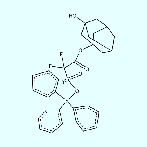 O=C(OC12CC3CC(CC(O)(C3)C1)C2)C(F)(F)S(=O)(=O)OS(c1ccccc1)(c1ccccc1)c1ccccc1